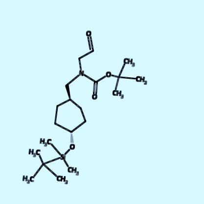 CC(C)(C)OC(=O)N(CC=O)C[C@H]1CC[C@H](O[Si](C)(C)C(C)(C)C)CC1